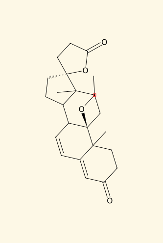 CCO[C@]12CCC3(C)C(CC[C@@]34CCC(=O)O4)C1C=CC1=CC(=O)CCC12C